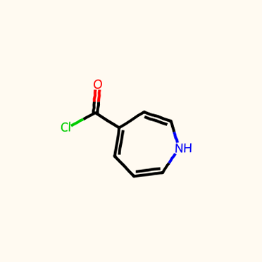 O=C(Cl)C1=CC=CNC=C1